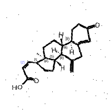 C=C1CC2=CC(=O)CC[C@@H]2[C@H]2CC[C@]3(C)[C@H](/C=C\C(=O)O)CC[C@H]3[C@H]12